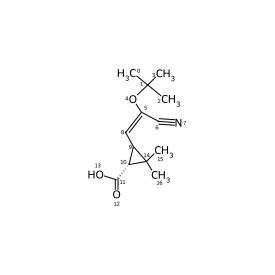 CC(C)(C)O/C(C#N)=C/C1[C@@H](C(=O)O)C1(C)C